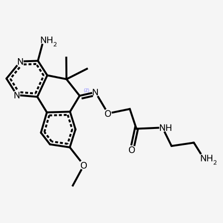 COc1ccc2c(c1)/C(=N\OCC(=O)NCCN)C(C)(C)c1c(N)ncnc1-2